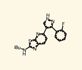 CC[C@H](C)Nc1nc2ccc(-c3c[nH]nc3-c3ccccc3F)nc2s1